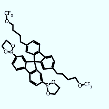 FC(F)(F)OCCCCc1ccc2c(c1)C1(c3cc(CCCCOC(F)(F)F)ccc3-2)c2cc(B3OCCO3)ccc2-c2ccc(B3OCCO3)cc21